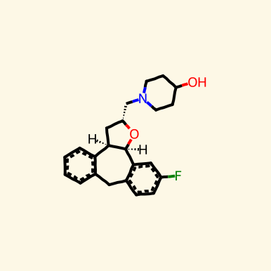 OC1CCN(C[C@H]2C[C@@H]3c4ccccc4Cc4ccc(F)cc4[C@@H]3O2)CC1